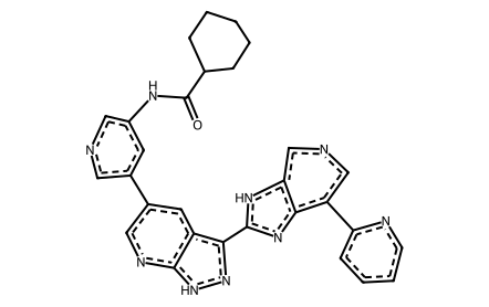 O=C(Nc1cncc(-c2cnc3[nH]nc(-c4nc5c(-c6ccccn6)cncc5[nH]4)c3c2)c1)C1CCCCC1